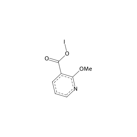 COc1ncccc1C(=O)OI